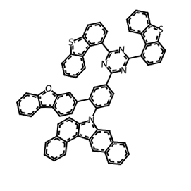 c1ccc2cc3c(cc2c1)c1c2ccccc2ccc1n3-c1ccc(-c2nc(-c3cccc4sc5ccccc5c34)nc(-c3cccc4sc5ccccc5c34)n2)cc1-c1ccc2c(c1)oc1ccccc12